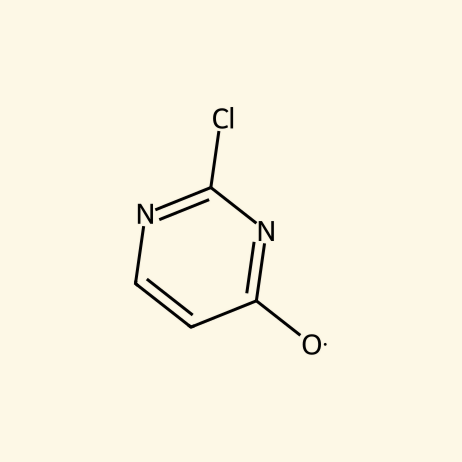 [O]c1ccnc(Cl)n1